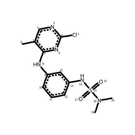 Cc1cnc(Cl)nc1Nc1cccc(NS(=O)(=O)N(C)C)c1